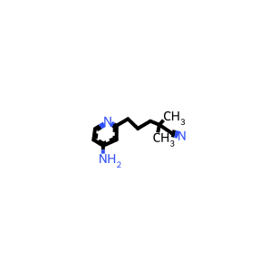 CC(C)(C#N)CCCc1cc(N)ccn1